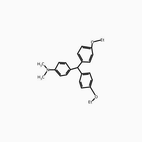 CCOc1ccc(C(c2ccc(OCC)cc2)c2ccc(N(C)C)cc2)cc1